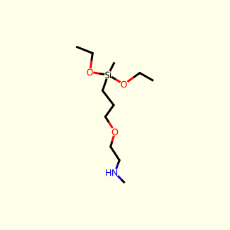 CCO[Si](C)(CCCOCCNC)OCC